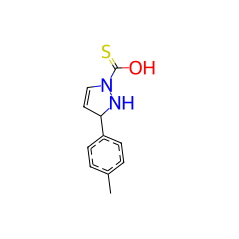 Cc1ccc(C2C=CN(C(O)=S)N2)cc1